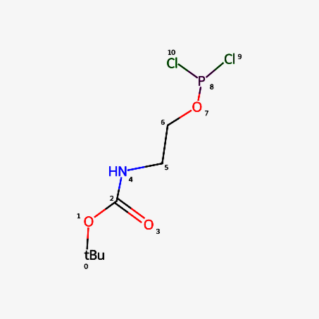 CC(C)(C)OC(=O)NCCOP(Cl)Cl